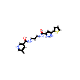 Cc1cncc(C(=O)NCCCNC(=O)c2cc(-c3cccs3)[nH]n2)c1